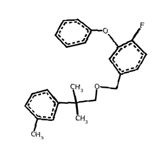 Cc1cccc(C(C)(C)COCc2ccc(F)c(Oc3ccccc3)c2)c1